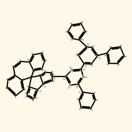 C1=Cc2ccccc2C2(c3ccccc31)c1ccccc1-c1cc(-c3nc(-c4ccccc4)nc(-c4cc(-c5ccccc5)cc(-c5ccccc5)c4)n3)ccc12